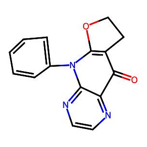 O=c1c2c(n(-c3ccccc3)c3nccnc13)OCC2